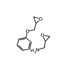 NCC1CO1.c1ccc(OCC2CO2)cc1